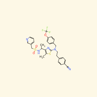 Cc1sc(N(CCc2ccc(C#N)cc2)Cc2ccc(OC(F)(F)F)cc2)nc1C(C)NS(=O)(=O)Cc1cccnc1